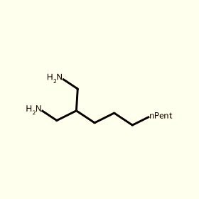 CCCCCCCCC(CN)CN